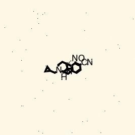 C[C@@H]1[C@H]2Cc3ccc(C#N)c([N+](=O)[O-])c3[C@]1(C)CCN2CC1CC1